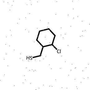 SCC1CCCCC1Cl